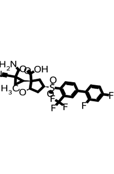 CO[C@H]1C[C@@H](S(=O)(=O)c2ccc(-c3ccc(F)cc3F)cc2C(F)(F)F)C[C@]1(C(=O)O)C1CC1(C#N)C(N)=O